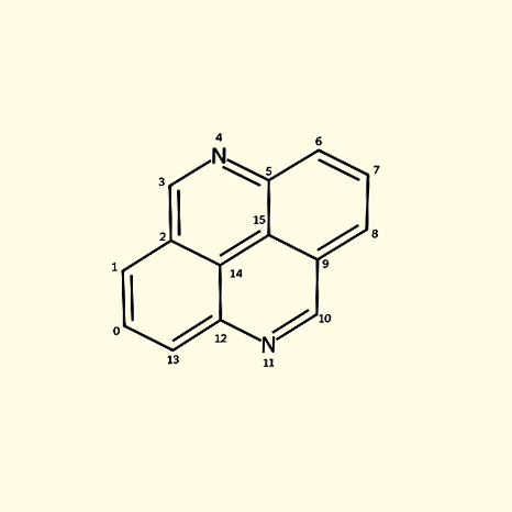 c1cc2cnc3cccc4cnc(c1)c2c43